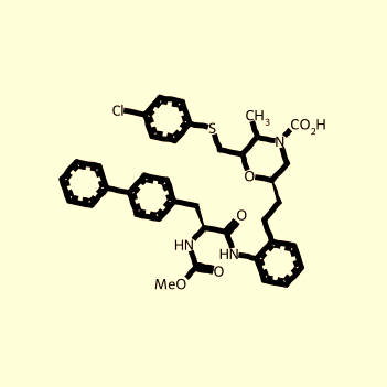 COC(=O)N[C@@H](Cc1ccc(-c2ccccc2)cc1)C(=O)Nc1ccccc1CC[C@@H]1CN(C(=O)O)C(C)C(CSc2ccc(Cl)cc2)O1